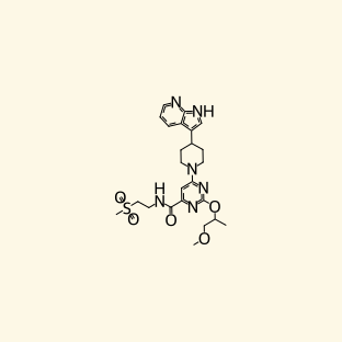 COCC(C)Oc1nc(C(=O)NCCS(C)(=O)=O)cc(N2CCC(c3c[nH]c4ncccc34)CC2)n1